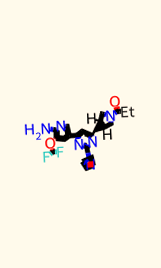 CCC(=O)N1C[C@@H]2[C@H](C1)[C@H]2c1cc(-c2cnc(N)c(OC(F)F)c2)nc(N2CC3CC2C3)n1